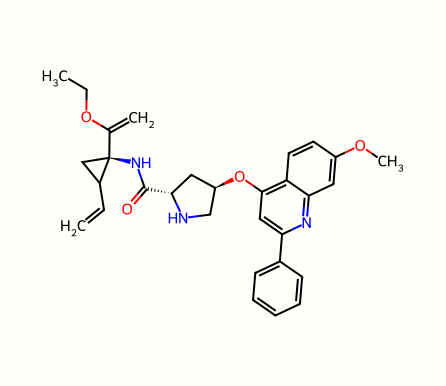 C=CC1C[C@]1(NC(=O)[C@@H]1C[C@@H](Oc2cc(-c3ccccc3)nc3cc(OC)ccc23)CN1)C(=C)OCC